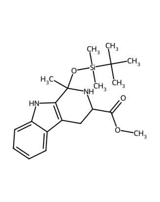 COC(=O)C1Cc2c([nH]c3ccccc23)C(C)(O[Si](C)(C)C(C)(C)C)N1